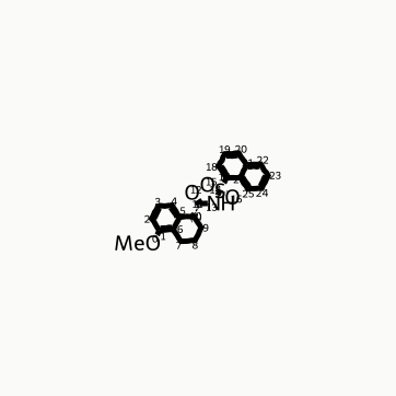 COc1cccc2c1CCC[C@H]2C(=O)NS(=O)(=O)c1cccc2ccccc12